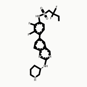 CCC(F)(F)CS(=O)(=O)Nc1ccc(-c2ccc3nc(N[C@H]4CCCNC4)ncc3c2)c(F)c1F